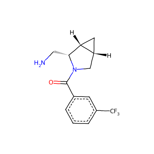 NC[C@@H]1[C@@H]2C[C@@H]2CN1C(=O)c1cccc(C(F)(F)F)c1